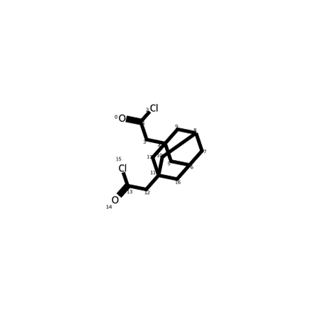 O=C(Cl)CC12CC3CC(C1)CC(CC(=O)Cl)(C3)C2